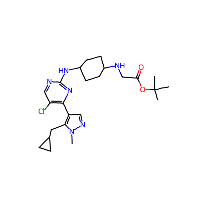 Cn1ncc(-c2nc(NC3CCC(NCC(=O)OC(C)(C)C)CC3)ncc2Cl)c1CC1CC1